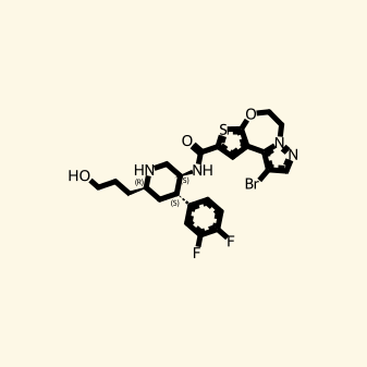 O=C(N[C@@H]1CN[C@H](CCCO)C[C@H]1c1ccc(F)c(F)c1)c1cc2c(s1)OCCn1ncc(Br)c1-2